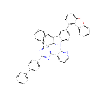 c1ccc(-c2ccc(-c3nc(-c4ccccc4)nc(-c4cccnc4-n4c5ccccc5c5cc(-c6cccc7oc8ccccc8c67)ccc54)n3)cc2)cc1